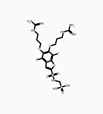 N=C(N)NCCCOc1c(OCCCNC(=N)N)c(F)c2sc(S(=O)(=O)NCP(=O)(O)O)cc2c1F